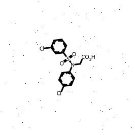 O=C(O)CN(c1ccc(Cl)cc1)S(=O)(=O)c1cccc(Cl)c1